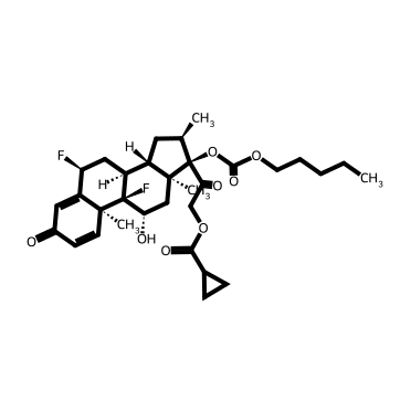 CCCCCOC(=O)O[C@]1(C(=O)COC(=O)C2CC2)[C@H](C)C[C@H]2[C@@H]3C[C@H](F)C4=CC(=O)C=C[C@]4(C)[C@@]3(F)[C@@H](O)C[C@@]21C